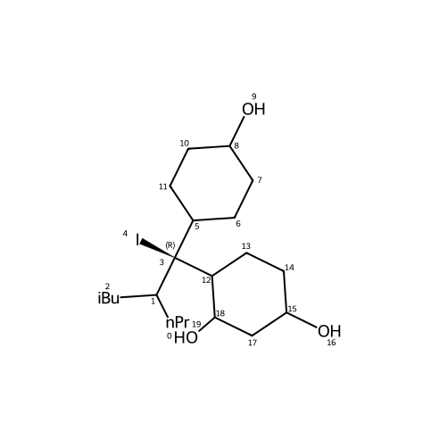 CCCC(C(C)CC)[C@](I)(C1CCC(O)CC1)C1CCC(O)CC1O